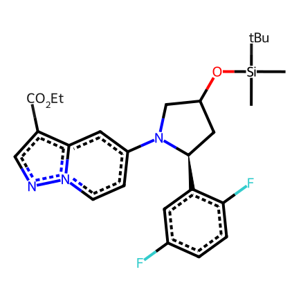 CCOC(=O)c1cnn2ccc(N3CC(O[Si](C)(C)C(C)(C)C)C[C@H]3c3cc(F)ccc3F)cc12